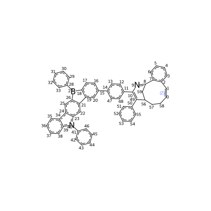 C1=C\c2ccccc2C2=NC(c3ccc(-c4ccc5c(c4)-c4cc6c(cc4B5c4ccccc4)c4ccccc4n6-c4ccccc4)cc3)=C(c3ccccc3)C(CC/1)C2